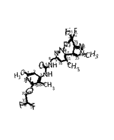 Cc1cc(NC(=O)NCc2cc(C)c(-c3cn(C)nc3C(F)(F)F)nn2)c(C)c(OCC(F)F)n1